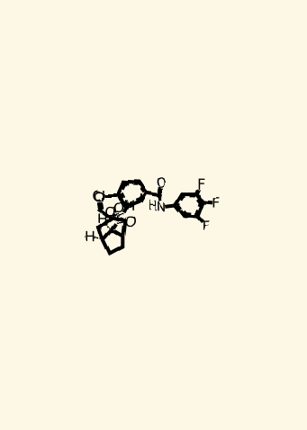 O=C[C@]1(O)CC2CC[C@@H](C1)[C@H]2S(=O)(=O)c1cc(C(=O)Nc2cc(F)c(F)c(F)c2)ccc1Cl